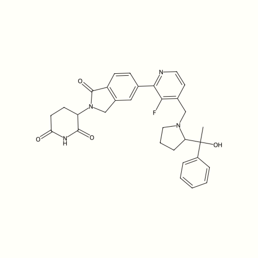 CC(O)(c1ccccc1)C1CCCN1Cc1ccnc(-c2ccc3c(c2)CN(C2CCC(=O)NC2=O)C3=O)c1F